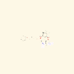 CC1=C(C(=O)OCCCCOc2ccccc2)C(c2c(F)c(F)c(F)c(F)c2F)C2=C(CNCC2=O)N1